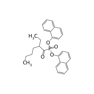 CCCCC(CC)C(=O)P(=O)(Oc1cccc2ccccc12)Oc1cccc2ccccc12